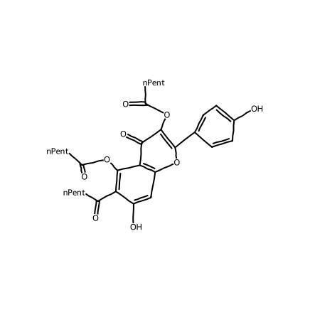 CCCCCC(=O)Oc1c(-c2ccc(O)cc2)oc2cc(O)c(C(=O)CCCCC)c(OC(=O)CCCCC)c2c1=O